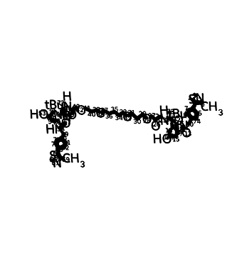 Cc1ncsc1-c1ccc(CNC(=O)[C@@H]2C[C@@H](O)CN2C(=O)[C@@H](NCC(=O)COCCCOCCCCCOCCCOCC(=O)N[C@H](C(=O)N2C[C@H](O)C[C@H]2C(=O)NCc2ccc(-c3scnc3C)cc2)C(C)(C)C)C(C)(C)C)cc1